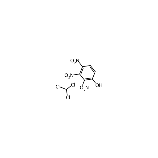 ClC(Cl)Cl.O=[N+]([O-])c1ccc(O)c([N+](=O)[O-])c1[N+](=O)[O-]